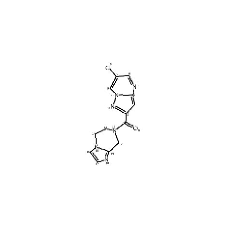 O=C(c1cc2ncc(Cl)cn2n1)N1CCn2ccnc2C1